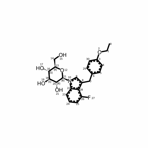 CCOc1ccc(Cc2cn([C@@H]3O[C@H](CO)[C@@H](O)[C@H](O)[C@H]3O)c3cccc(F)c23)cc1